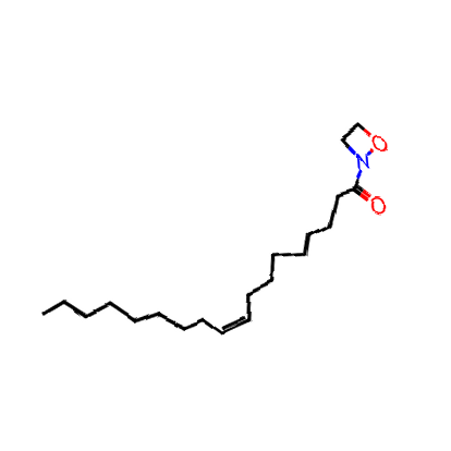 CCCCCCCC/C=C\CCCCCCCC(=O)N1CCO1